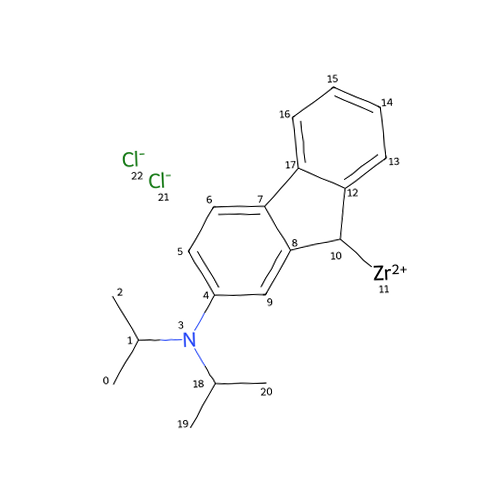 CC(C)N(c1ccc2c(c1)[CH]([Zr+2])c1ccccc1-2)C(C)C.[Cl-].[Cl-]